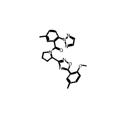 COc1ccc(C)cc1-c1nc(C2CCCN2C(=O)c2cc(C)ccc2-n2nccn2)no1